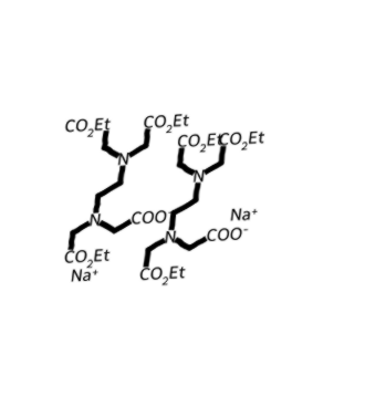 CCOC(=O)CN(CCN(CC(=O)OCC)CC(=O)OCC)CC(=O)[O-].CCOC(=O)CN(CCN(CC(=O)OCC)CC(=O)OCC)CC(=O)[O-].[Na+].[Na+]